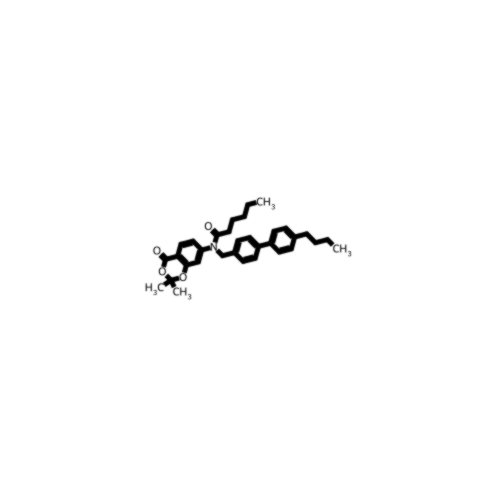 CCCCCC(=O)N(Cc1ccc(-c2ccc(CCCC)cc2)cc1)c1ccc2c(c1)OC(C)(C)OC2=O